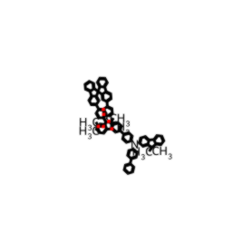 CC(C)CC(c1ccc(-c2ccc3c(c2)C2(c4ccccc4-3)c3ccccc3-c3ccc(-c4ccc(-n5c6ccccc6c6cc(-c7ccc(N(c8ccc(-c9ccccc9)cc8)c8ccc9c(c8)C(C)(C)c8ccccc8-9)cc7)ccc65)cc4)cc32)cc1)C(C)C